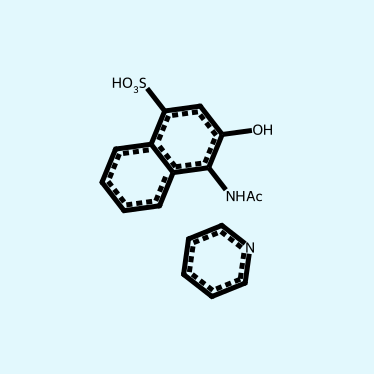 CC(=O)Nc1c(O)cc(S(=O)(=O)O)c2ccccc12.c1ccncc1